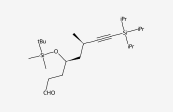 CC(C)[Si](C#C[C@H](C)C[C@@H](CCC=O)O[Si](C)(C)C(C)(C)C)(C(C)C)C(C)C